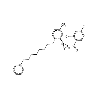 O=C(c1ccc(Cl)cc1Cl)[C@@H]1O[C@H]1c1cc(C(F)(F)F)ccc1CCCCCCCCc1ccccc1